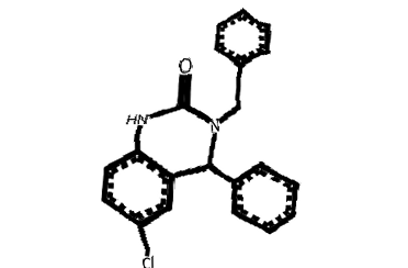 O=C1Nc2ccc(Cl)cc2C(c2ccccc2)N1Cc1ccccc1